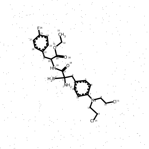 BC(N)(Cc1ccc(N(CCCl)CCCl)cc1)C(=O)NC(Cc1ccc(F)cc1)C(=O)OCC